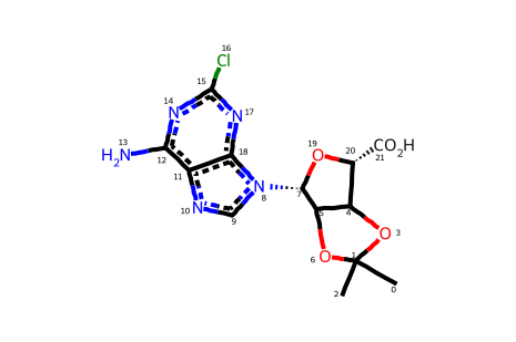 CC1(C)OC2C(O1)[C@H](n1cnc3c(N)nc(Cl)nc31)O[C@@H]2C(=O)O